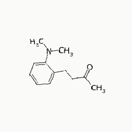 CC(=O)CCc1ccccc1N(C)C